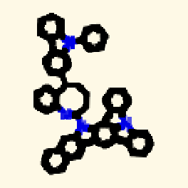 c1ccc(-n2c3ccccc3c3ccc(C4CCC/C(n5c6cc7ccccc7cc6c6cc7c8ccccc8n8c9ccccc9c(c65)c78)=N\c5ccccc54)cc32)cc1